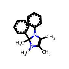 CC1=C(C)N(c2ccccc2)C(C)(c2ccccc2)N1C